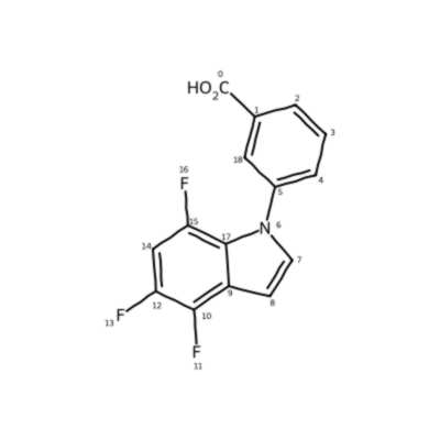 O=C(O)c1cccc(-n2ccc3c(F)c(F)cc(F)c32)c1